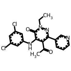 CCn1nc(-c2cccnc2)c(C(C)=O)c(Nc2cc(Cl)cc(Cl)c2)c1=O